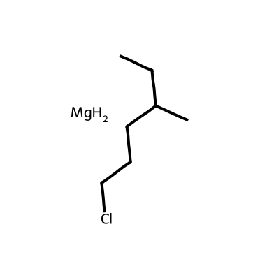 CCC(C)CCCCl.[MgH2]